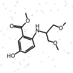 COCC(COC)Nc1ccc(O)cc1C(=O)OC